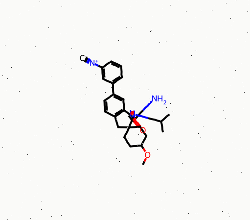 [C-]#[N+]c1cccc(-c2ccc3c(c2)C2(N=C(N)N(C(C)C)C2=O)C2(CCC(OC)CC2)C3)c1